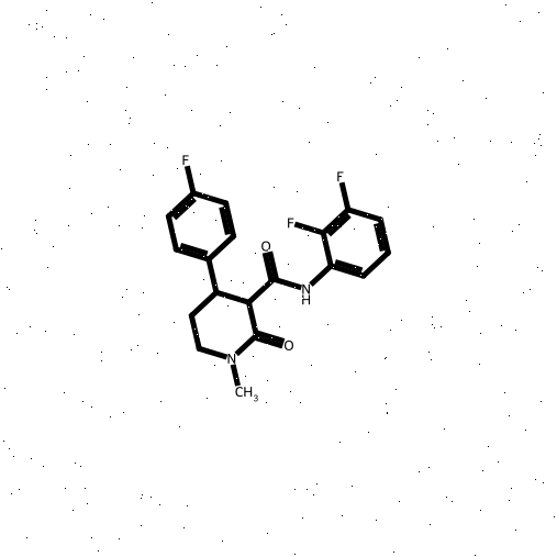 CN1CCC(c2ccc(F)cc2)C(C(=O)Nc2cccc(F)c2F)C1=O